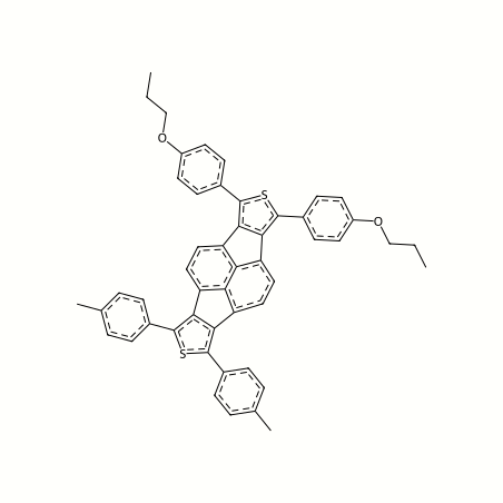 CCCOc1ccc(-c2sc(-c3ccc(OCCC)cc3)c3c2-c2ccc4c5c(ccc-3c25)-c2c(-c3ccc(C)cc3)sc(-c3ccc(C)cc3)c2-4)cc1